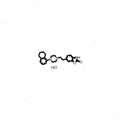 Cl.O=c1[nH]c2ccc(CCN3CCN(c4cccc5c4CCCC5)CC3)cc2o1